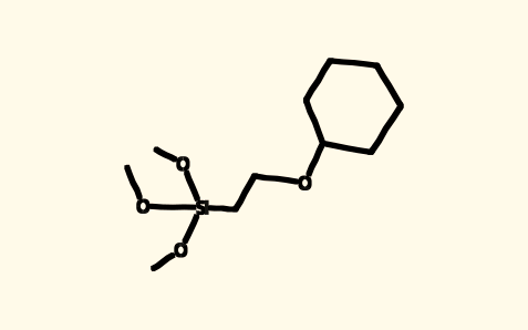 CO[Si](CCOC1CCCCC1)(OC)OC